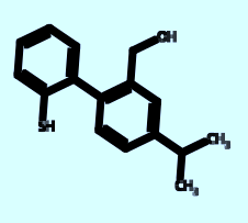 CC(C)c1ccc(-c2ccccc2S)c(CO)c1